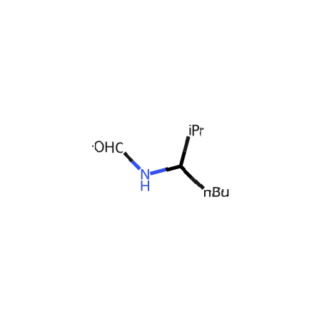 CCCCC(N[C]=O)C(C)C